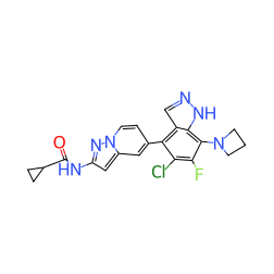 O=C(Nc1cc2cc(-c3c(Cl)c(F)c(N4CCC4)c4[nH]ncc34)ccn2n1)C1CC1